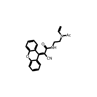 C=CN(CCNC(=O)C(C#N)=C1c2ccccc2Oc2ccccc21)C(C)=O